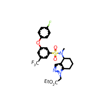 CCOC(=O)Cn1ncc2c1CCCC2N(C)S(=O)(=O)c1cc(Oc2ccc(F)cc2)cc(C(F)(F)F)c1